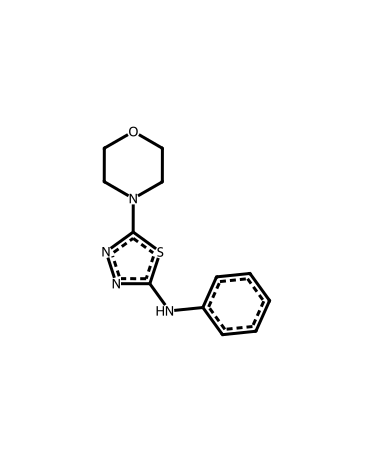 c1ccc(Nc2nnc(N3CCOCC3)s2)cc1